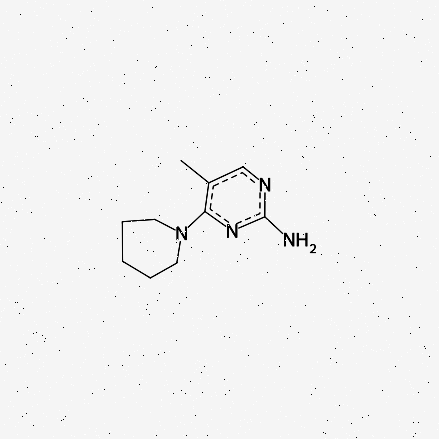 Cc1cnc(N)nc1N1CCCCC1